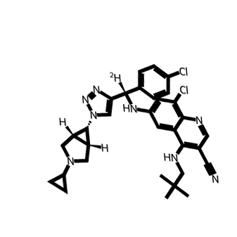 [2H][C@](Nc1cc(Cl)c2ncc(C#N)c(NCC(C)(C)C)c2c1)(c1ccc(Cl)cc1)c1cn([C@@H]2[C@@H]3CN(C4CC4)C[C@@H]32)nn1